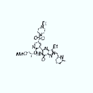 CCc1c2nc(-c3cc(S(=O)(=O)N4CCN(CC)CC4)cnc3OC(C)COC)[nH]c(=O)c2nn1Cc1cccc(C)n1